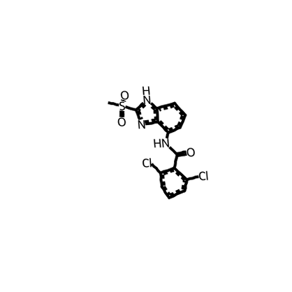 CS(=O)(=O)c1nc2c(NC(=O)c3c(Cl)cccc3Cl)cccc2[nH]1